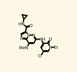 CCn1cc(Cl)cc(Nc2cc(NC)c3ncc(C(=O)NC4CC4)n3n2)c1=O